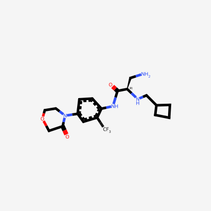 NC[C@@H](NCC1CCC1)C(=O)Nc1ccc(N2CCOCC2=O)cc1C(F)(F)F